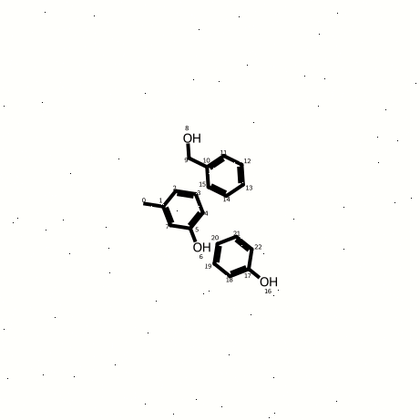 Cc1cccc(O)c1.OCc1ccccc1.Oc1ccccc1